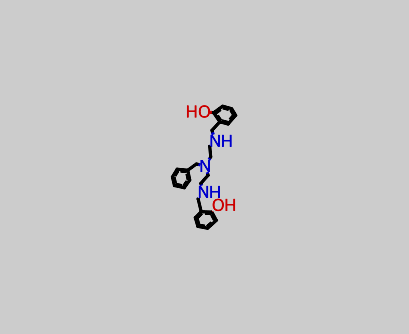 Oc1ccccc1CNCCN(CCNCc1ccccc1O)Cc1ccccc1